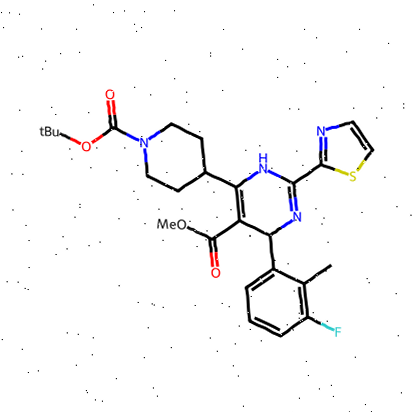 COC(=O)C1=C(C2CCN(C(=O)OC(C)(C)C)CC2)NC(c2nccs2)=NC1c1cccc(F)c1C